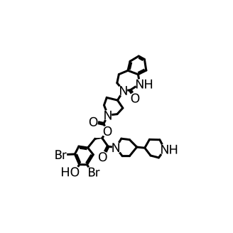 O=C(O[C@H](Cc1cc(Br)c(O)c(Br)c1)C(=O)N1CCC(C2CCNCC2)CC1)N1CCC(N2CCc3ccccc3NC2=O)CC1